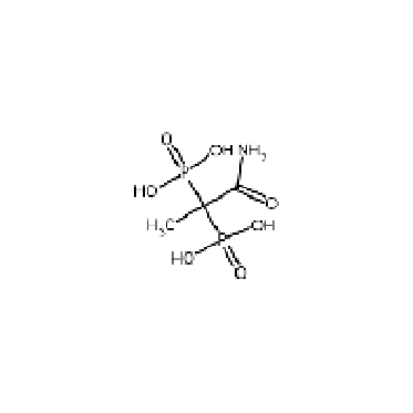 CC(C(N)=O)(P(=O)(O)O)P(=O)(O)O